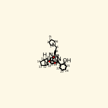 C[C@H]1CCN(CC#Cc2cc(N3C4CCC3CN(c3cc(-c5ccccc5O)nnc3N)C4)ccn2)C1